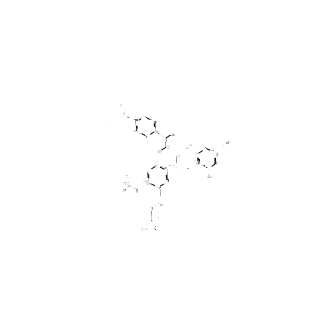 CN(C)c1ccc(C(=O)C(=O)O[C@@H](Cc2c(Cl)c[n+]([O-])cc2Cl)c2ccc(OC(F)F)c(OCC3CC3)c2)cc1